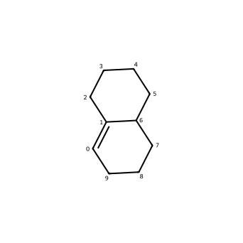 C1=C2CCCCC2CCC1